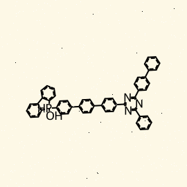 O[PH]1(c2ccc(-c3ccc(-c4ccc(-c5nc(-c6ccccc6)nc(-c6ccc(-c7ccccc7)cc6)n5)cc4)cc3)cc2)c2ccccc2-c2ccccc21